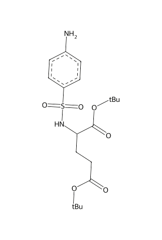 CC(C)(C)OC(=O)CCC(NS(=O)(=O)c1ccc(N)cc1)C(=O)OC(C)(C)C